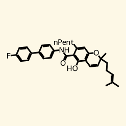 CCCCCc1cc2c(c(O)c1C(=O)Nc1ccc(-c3ccc(F)cc3)cc1)C=CC(C)(CCC=C(C)C)O2